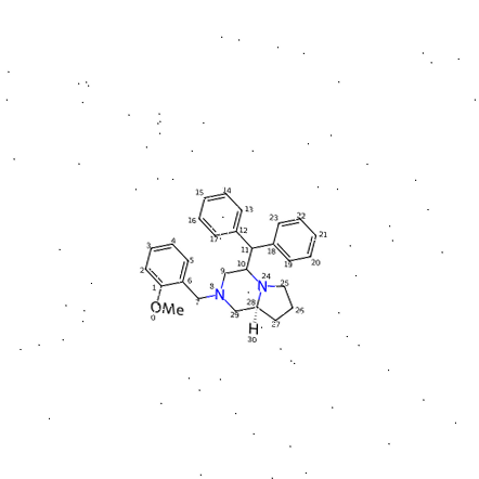 COc1ccccc1CN1CC(C(c2ccccc2)c2ccccc2)N2CCC[C@H]2C1